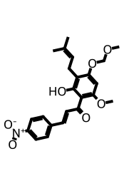 COCOc1cc(OC)c(C(=O)/C=C/c2ccc([N+](=O)[O-])cc2)c(O)c1CC=C(C)C